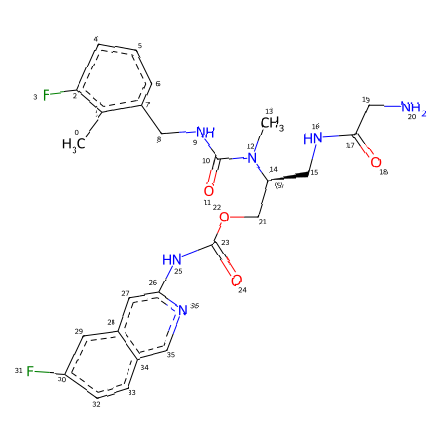 Cc1c(F)cccc1CNC(=O)N(C)[C@@H](CNC(=O)CN)COC(=O)Nc1cc2cc(F)ccc2cn1